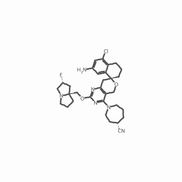 N#C[C@H]1CCCN(c2nc(OC[C@@]34CCCN3C[C@H](F)C4)nc3c2CO[C@]2(CCCc4c(Cl)cc(N)cc42)C3)CC1